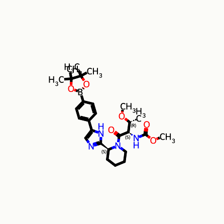 COC(=O)N[C@H](C(=O)N1CCCC[C@H]1c1ncc(-c2ccc(B3OC(C)(C)C(C)(C)O3)cc2)[nH]1)[C@@H](C)OC